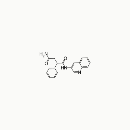 NC(=O)CC(C(=O)Nc1cnc2ccccc2c1)c1ccccc1